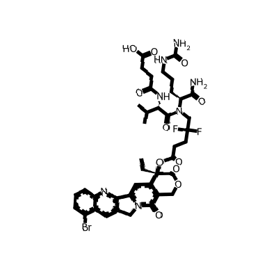 CC[C@@]1(OC(=O)CCC(F)(F)CN(C(=O)[C@@H](NC(=O)CCC(=O)O)C(C)C)[C@@H](CCCNC(N)=O)C(N)=O)C(=O)OCc2c1cc1n(c2=O)Cc2cc3c(Br)cccc3nc2-1